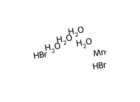 Br.Br.O.O.O.O.[Mn]